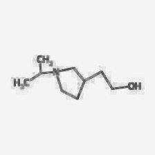 CC(C)N1CCC(CCO)C1